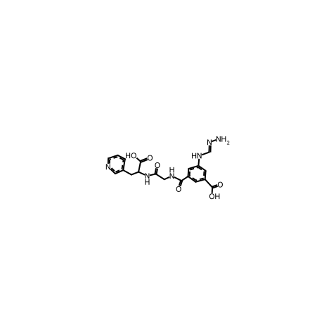 NN=CNc1cc(C(=O)O)cc(C(=O)NCC(=O)NC(Cc2cccnc2)C(=O)O)c1